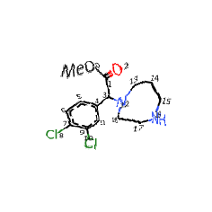 COC(=O)C(c1ccc(Cl)c(Cl)c1)N1CCCNCC1